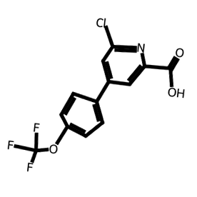 O=C(O)c1cc(-c2ccc(OC(F)(F)F)cc2)cc(Cl)n1